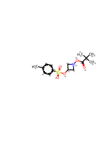 Cc1ccc(S(=O)(=O)OC2CN(OC(=O)C(C)(C)C)C2)cc1